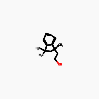 CC1(C)CC(C)(CCO)c2ccccc21